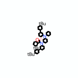 CC(C)(C)c1ccc(-c2cccc(N3c4cccc5c4B(c4ccc(-c6ccc(C(C)(C)C)cc6)cc4N5c4ccccc4)c4oc5c(c43)CC(C(C)(C)C)C=C5)c2)cc1